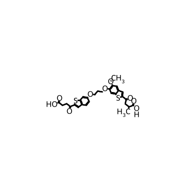 COc1cc2cc(C(=O)CC(C)C(=O)O)sc2cc1OCCCOc1ccc2cc(C(=O)CCC(=O)O)sc2c1